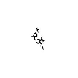 Cc1nc(OC2(C(F)(F)F)COC2)ccc1CN1CCc2c(NCC#N)nc(Cl)c(C#N)c2C1